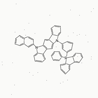 c1ccc([Si]2(c3cccc(-n4c5ccccc5c5cc6c(cc54)c4ccccc4n6-c4ccc5ccccc5c4)c3)c3ccccc3-c3ccccc32)cc1